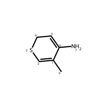 CC1=CSCC=C1N